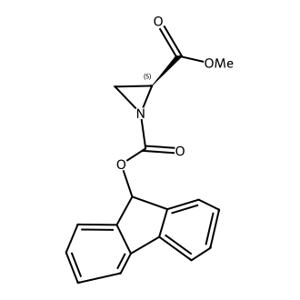 COC(=O)[C@@H]1CN1C(=O)OC1c2ccccc2-c2ccccc21